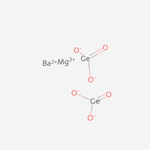 [Ba+2].[Mg+2].[O]=[Ge]([O-])[O-].[O]=[Ge]([O-])[O-]